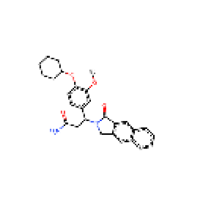 CCOc1cc(C(CC(N)=O)N2Cc3cc4ccccc4cc3C2=O)ccc1OC1CCCCC1